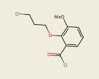 COc1cccc(C(=O)Cl)c1OCCCCl